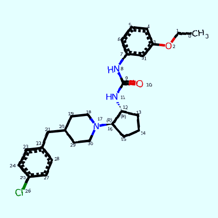 CCOc1cccc(NC(=O)N[C@@H]2CCC[C@H]2N2CCC(Cc3ccc(Cl)cc3)CC2)c1